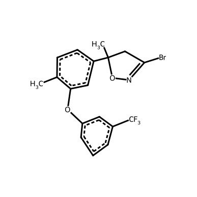 Cc1ccc(C2(C)CC(Br)=NO2)cc1Oc1cccc(C(F)(F)F)c1